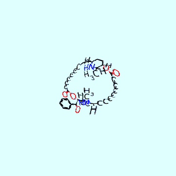 C[C@@H]1N[C@@H]2CCCCCCCC(=O)O[C@@]3(C(=O)c4ccccc4)CC[C@@H](CCCCCCCC(=O)O[C@H]1CC2)N[C@H]3C